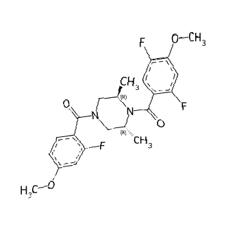 COc1ccc(C(=O)N2C[C@@H](C)N(C(=O)c3cc(F)c(OC)cc3F)[C@H](C)C2)c(F)c1